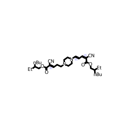 CCCCC(CC)COC(=O)/C(C#N)=C\C=C\N1CCN(CC/C=C(\C#N)C(=O)OCC(CC)CCCC)CC1